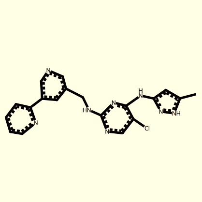 Cc1cc(Nc2nc(NCc3cncc(-c4ccccn4)c3)ncc2Cl)n[nH]1